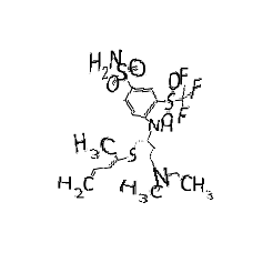 C=C/C=C(\C)SC[C@@H](CCN(C)CC)Nc1ccc(S(N)(=O)=O)cc1S(=O)(=O)C(F)(F)F